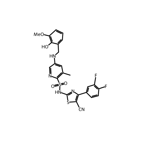 COc1cccc(CNc2cnc(S(=O)(=O)Nc3nc(-c4ccc(F)c(F)c4)c(C#N)s3)c(C)c2)c1O